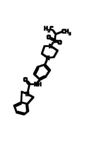 CC(C)S(=O)(=O)N1CCN(c2ccc(NC(=O)N3Cc4ccccc4C3)cc2)CC1